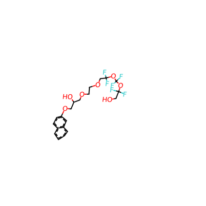 OCC(F)(F)OC(F)(F)OC(F)(F)COCCOCC(O)COc1ccc2ccccc2c1